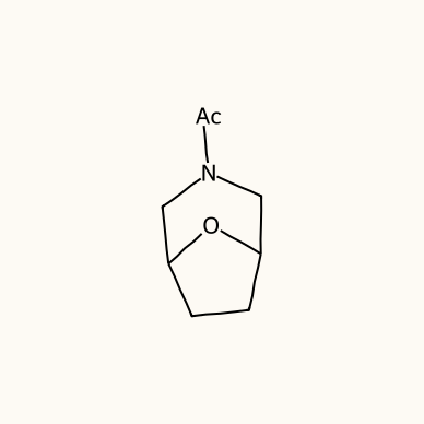 CC(=O)N1CC2CCC(C1)O2